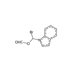 O=COC(Br)n1ccc2ccccc21